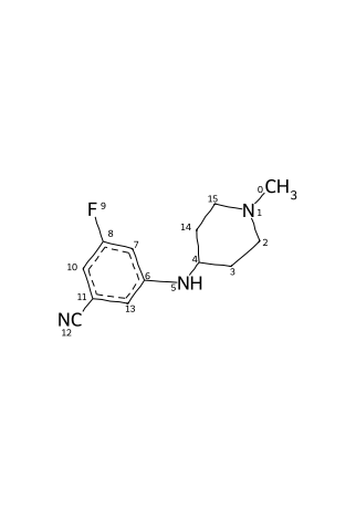 CN1CCC(Nc2cc(F)cc(C#N)c2)CC1